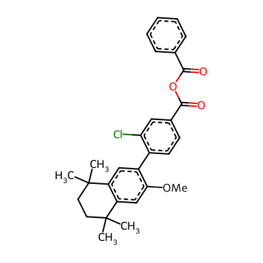 COc1cc2c(cc1-c1ccc(C(=O)OC(=O)c3ccccc3)cc1Cl)C(C)(C)CCC2(C)C